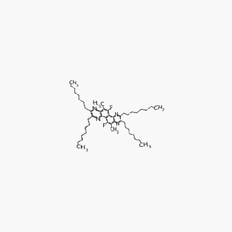 CCCCCCCCc1nc2c(C)c(F)c3c4nc(CCCCCCCC)c(CCCCCCCC)nc4c(C)c(F)c3c2nc1CCCCCCCC